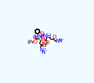 CC(C)OC(=O)[C@H](CCC(=O)C=[N+]=[N-])NP(=O)(N[C@@H](CCC(=O)C=[N+]=[N-])C(=O)OC(C)C)Oc1ccccc1